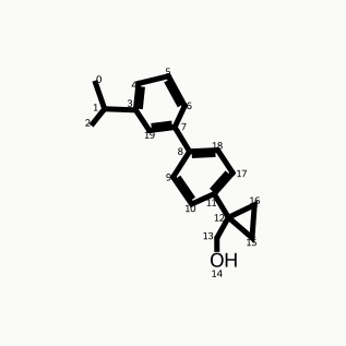 CC(C)c1cccc(-c2ccc(C3(CO)CC3)cc2)c1